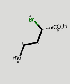 CC(C)(C)CC[C@H](Br)C(=O)O